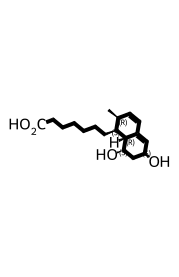 C[C@H]1C=CC2=C[C@@H](O)C[C@H](O)[C@@H]2[C@H]1CCCCCCC(=O)O